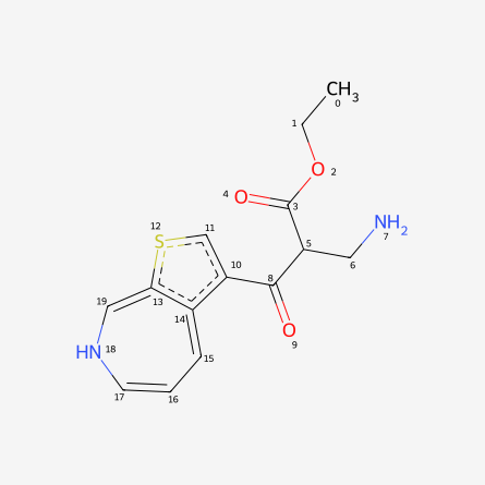 CCOC(=O)C(CN)C(=O)c1csc2c1=CC=CNC=2